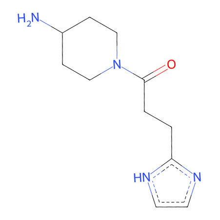 NC1CCN(C(=O)CCc2ncc[nH]2)CC1